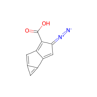 [N-]=[N+]=C1C=c2c3cc-3cc2=C1C(=O)O